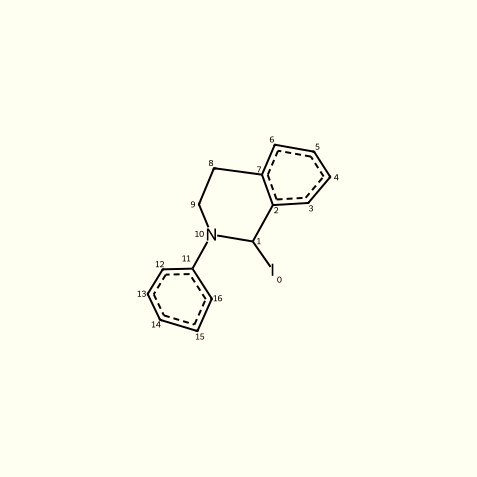 IC1c2ccccc2CCN1c1ccccc1